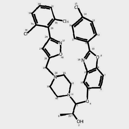 C[C@H](O)C(Oc1ccc2oc(-c3ccc(Cl)cc3)nc2c1)N1CCN(Cc2cc(-c3c(Cl)cccc3Cl)no2)CC1